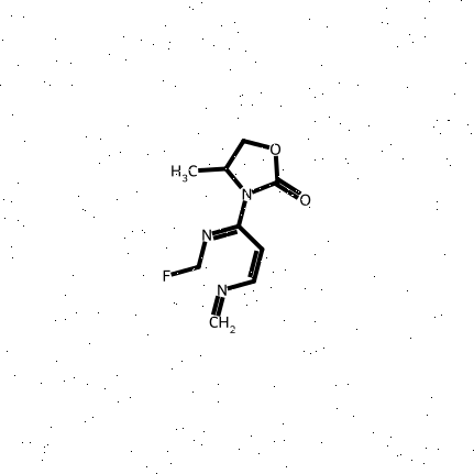 C=N/C=C\C(=N/CF)N1C(=O)OCC1C